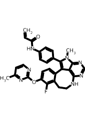 C=CC(=O)Nc1ccc(-c2c3c4c(ncnc4n2C)NCCc2c-3ccc(Oc3nccc(C)n3)c2F)cc1